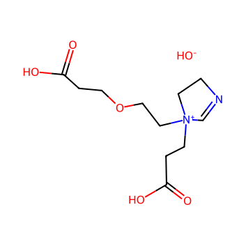 O=C(O)CCOCC[N+]1(CCC(=O)O)C=NCC1.[OH-]